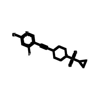 O=S(=O)(C1CC1)N1CCC(C#Cc2cnc(Cl)cc2F)CC1